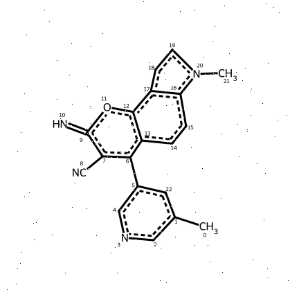 Cc1cncc(-c2c(C#N)c(=N)oc3c2ccc2c3ccn2C)c1